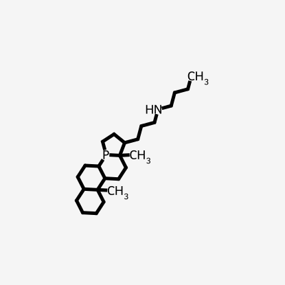 CCCCNCCCC1CCP2C3CCC4CCCCC4(C)C3CCC12C